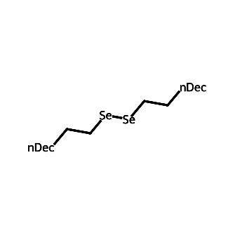 CCCCCCCCCCCC[Se][Se]CCCCCCCCCCCC